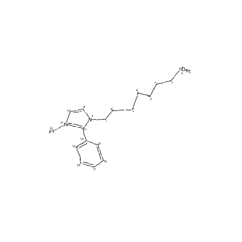 CCCCCCCCCCCCCCCCCn1cc[n+](CC)c1-c1ccccc1